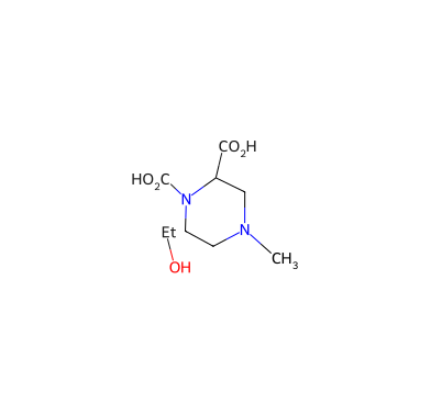 CCO.CN1CCN(C(=O)O)C(C(=O)O)C1